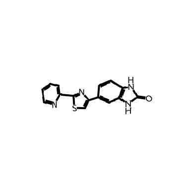 O=c1[nH]c2ccc(-c3csc(-c4ccccn4)n3)cc2[nH]1